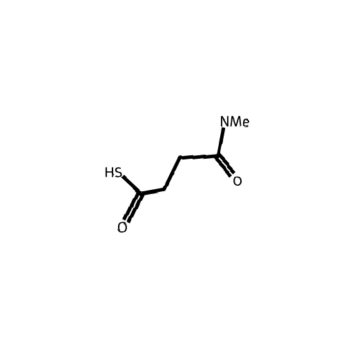 CNC(=O)CCC(=O)S